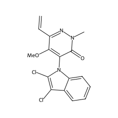 C=Cc1nn(C)c(=O)c(-n2c(Cl)c(Cl)c3ccccc32)c1OC